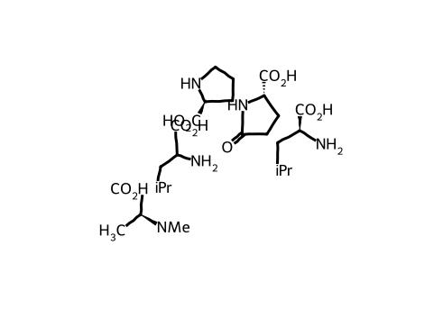 CC(C)CC(N)C(=O)O.CC(C)C[C@H](N)C(=O)O.CN[C@@H](C)C(=O)O.O=C(O)[C@@H]1CCCN1.O=C1CC[C@@H](C(=O)O)N1